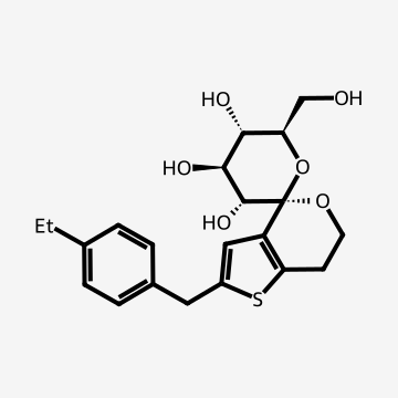 CCc1ccc(Cc2cc3c(s2)CCO[C@]32O[C@H](CO)[C@@H](O)[C@H](O)[C@H]2O)cc1